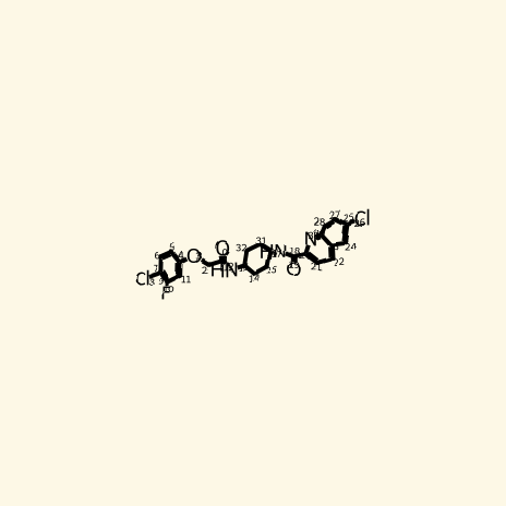 O=C(COc1ccc(Cl)c(F)c1)NC1CCC(NC(=O)c2ccc3cc(Cl)ccc3n2)CC1